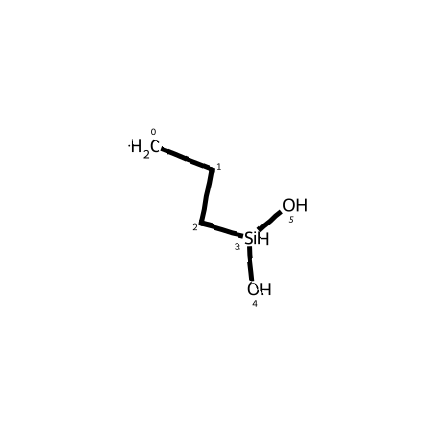 [CH2]CC[SiH](O)O